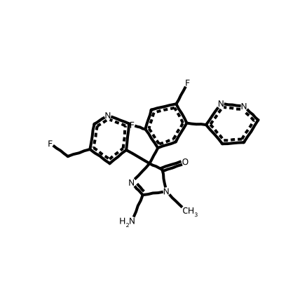 CN1C(=O)C(c2cncc(CF)c2)(c2cc(-c3cccnn3)c(F)cc2F)N=C1N